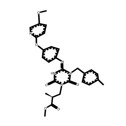 COC(=O)[C@@H](C)Cn1c(=O)[nH]/c(=N\c2ccc(Oc3ccc(OC)cn3)cc2)n(Cc2ccc(C)cc2)c1=O